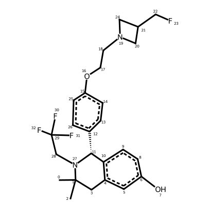 CC1(C)Cc2cc(O)ccc2[C@@H](c2ccc(OCCN3CC(CF)C3)cc2)N1CC(F)(F)F